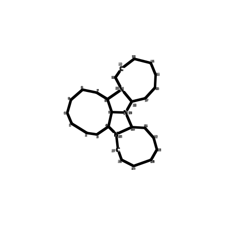 C1CCCC2C3C(CCC1)N1CCCCCCCC1N3C1CCCCCCCN21